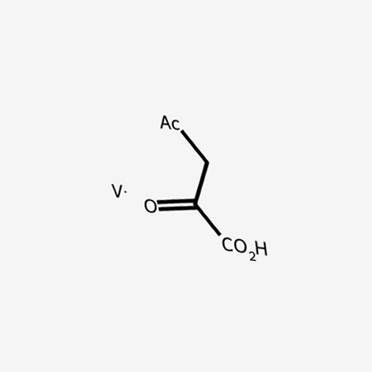 CC(=O)CC(=O)C(=O)O.[V]